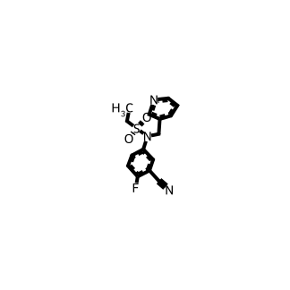 CCS(=O)(=O)N(Cc1cccnc1)c1ccc(F)c(C#N)c1